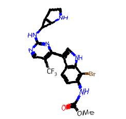 COC(=O)Nc1ccc2c(-c3nc(NC4C5CCNC54)ncc3C(F)(F)F)c[nH]c2c1Br